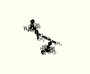 CCCCN(CCOCCOCCOCCN(CCCC)c1ccc(C2C(O)C(c3c(C(C)(C)C)nn(-c4ccccn4)c3O)C2O)cc1)c1ccc(C2C(O)C(c3c(C(C)(C)C)nn(-c4ccccn4)c3O)C2O)cc1